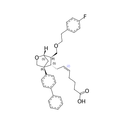 O=C(O)CCC/C=C\C[C@H]1[C@H](COCCc2ccc(F)cc2)[C@@H]2C[C@@]1(c1ccc(-c3ccccc3)cc1)CO2